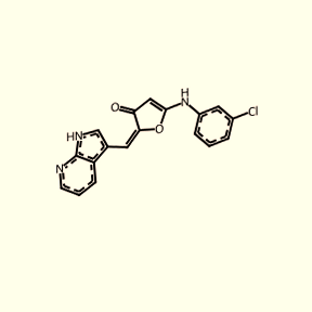 O=C1C=C(Nc2cccc(Cl)c2)O/C1=C/c1c[nH]c2ncccc12